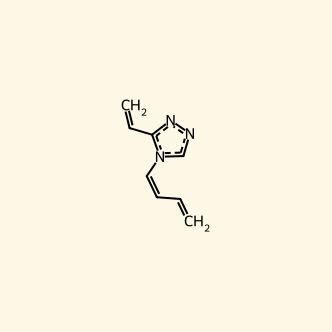 C=C/C=C\n1cnnc1C=C